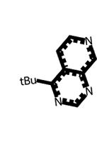 CC(C)(C)c1ncnc2cnccc12